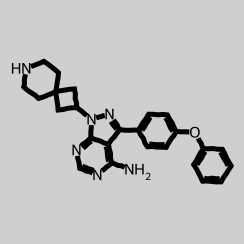 Nc1ncnc2c1c(-c1ccc(Oc3ccccc3)cc1)nn2C1CC2(CCNCC2)C1